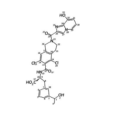 CC(O)c1cccc(C[C@H](NC(=O)c2c(Cl)cc3c(c2Cl)CCN(C(=O)c2cn4cccc(O)c4n2)C3)C(=O)O)c1